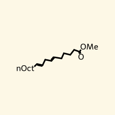 CCCCCCCC/C=C/C/C=C/CCCCC(=O)OC